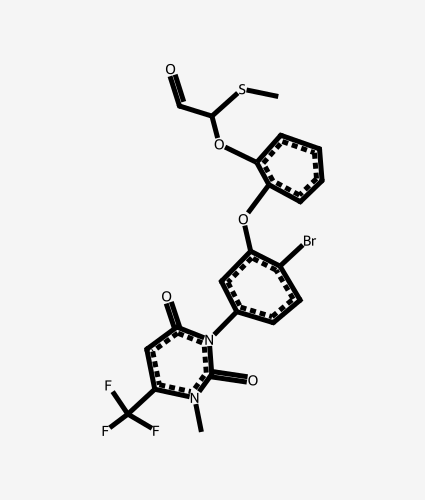 CSC(C=O)Oc1ccccc1Oc1cc(-n2c(=O)cc(C(F)(F)F)n(C)c2=O)ccc1Br